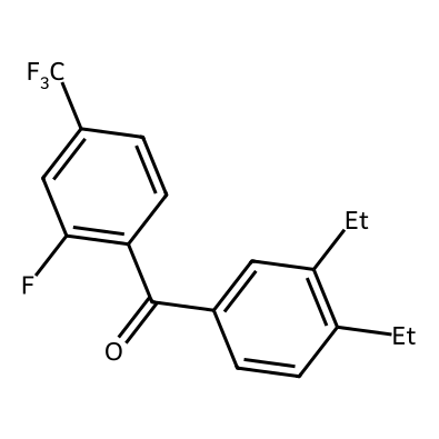 CCc1ccc(C(=O)c2ccc(C(F)(F)F)cc2F)cc1CC